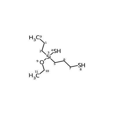 CCC[Si](S)(CCCS)OCC